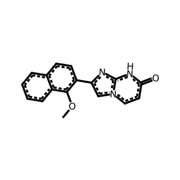 COc1c(-c2cn3ccc(=O)[nH]c3n2)ccc2ccccc12